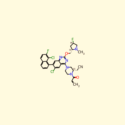 C=CC(=O)N1CCN(c2nc(OC[C@@H]3C[C@@H](F)CN3C)nc3cc(-c4cccc5ccc(F)c(Cl)c45)c(Cl)cc23)C[C@@H]1CC#N